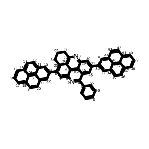 c1ccc(-c2nc3cc(-c4cc5ccc6cccc7ccc(c4)c5c67)c4c5c(nc6cc(-c7cc8ccc9cccc%10ccc(c7)c8c9%10)cc2c6c35)CCC4)cc1